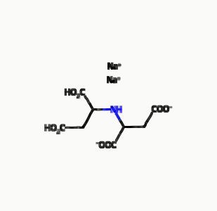 O=C([O-])CC(NC(CC(=O)O)C(=O)O)C(=O)[O-].[Na+].[Na+]